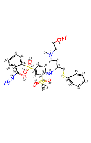 CN(CCO)CCC(CSc1ccccc1)Nc1ccc(S(=O)(=O)c2ccccc2C(N)=O)cc1S(=O)(=O)C(F)(F)F